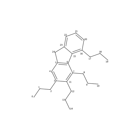 CCCc1[c]c2c(c(CCC)c1CCC)-c1c(CCC)cccc1C2